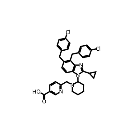 O=C(O)c1ccc(CN2CCCCC2n2c(C3CC3)nc3c(Cc4ccc(Cl)cc4)c(Cc4ccc(Cl)cc4)ccc32)nc1